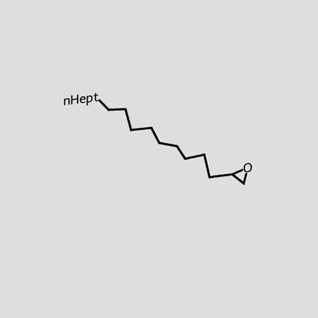 [CH2]CCCCCCCCCCCCCCCC1CO1